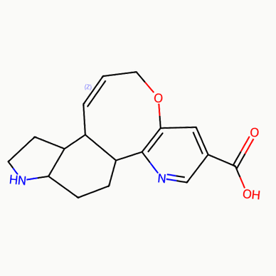 O=C(O)c1cnc2c(c1)OC/C=C\C1C2CCC2NCCC21